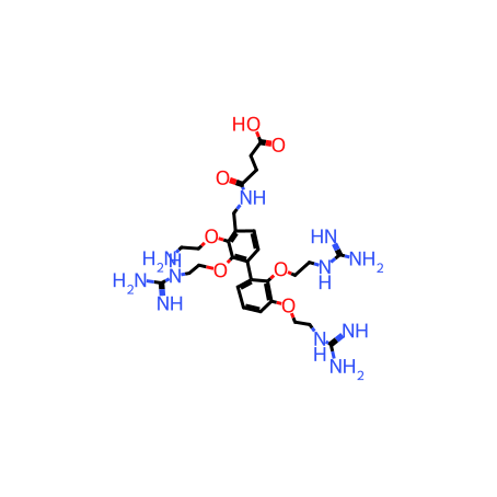 N=C(N)NCCOc1cccc(-c2ccc(CNC(=O)CCC(=O)O)c(OCCN)c2OCCNC(=N)N)c1OCCNC(=N)N